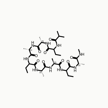 CCC(NC(=O)C(C)C)C(=O)N[C@@H](C)C(=O)N[C@@H](C)C(=O)NC(CC)C(=O)N[C@@H](C)C(=O)N[C@@H](C)C(=O)NC(CC)C(=O)N[C@@H](C)C(=O)NC